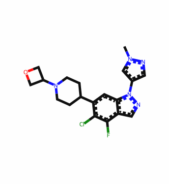 Cn1cc(-n2ncc3c(F)c(Cl)c(C4CCN(C5COC5)CC4)cc32)cn1